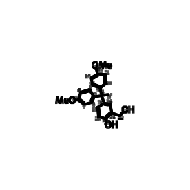 [CH2]C(c1ccc(OC)cc1)(c1ccc(OC)cc1)c1ccc(O)c(CO)c1